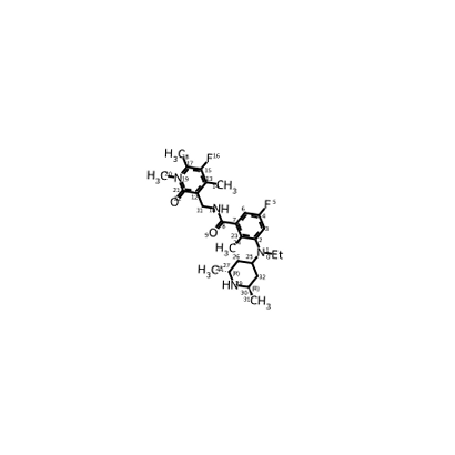 CCN(c1cc(F)cc(C(=O)NCc2c(C)c(F)c(C)n(C)c2=O)c1C)C1C[C@@H](C)N[C@H](C)C1